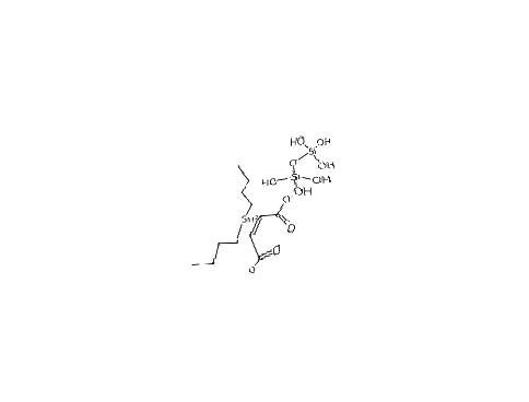 CCC[CH2][Sn+2][CH2]CCC.O=C([O-])/C=C\C(=O)[O-].O[Si](O)(O)O[Si](O)(O)O